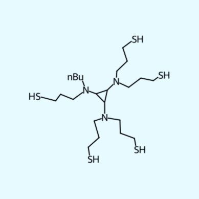 CCCCN(CCCS)C1C(N(CCCS)CCCS)C1N(CCCS)CCCS